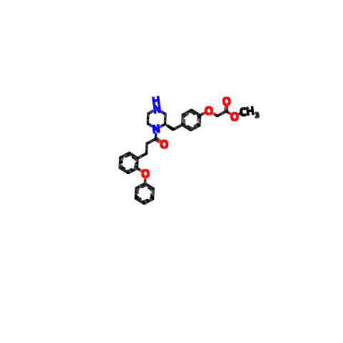 COC(=O)COc1ccc(C[C@@H]2CNCCN2C(=O)CCc2ccccc2Oc2ccccc2)cc1